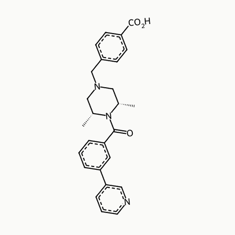 C[C@@H]1CN(Cc2ccc(C(=O)O)cc2)C[C@H](C)N1C(=O)c1cccc(-c2cccnc2)c1